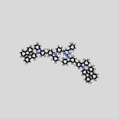 c1ccc(-c2cc(-c3cccc(-n4c5ccccc5c5cc(-c6ccc7c(c6)c6ccccc6n7-c6ccc7c(c6)C6(c8ccccc8-c8ccccc86)c6ccccc6-7)ccc54)c3)nc(-n3c4ccccc4c4cc(-c5ccc6c(c5)c5ccccc5n6-c5ccc6c(c5)C5(c7ccccc7-c7ccccc75)c5ccccc5-6)ccc43)n2)cc1